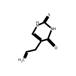 C=CCc1c[nH]c(=S)[nH]c1=O